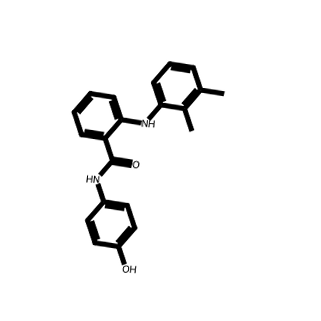 Cc1cccc(Nc2ccccc2C(=O)Nc2ccc(O)cc2)c1C